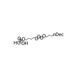 CCCCCCCCCCCCCOOOOCCCCOP(=O)(O)O